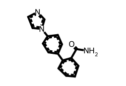 NC(=O)c1ccccc1-c1ccc(-n2ccnc2)cc1